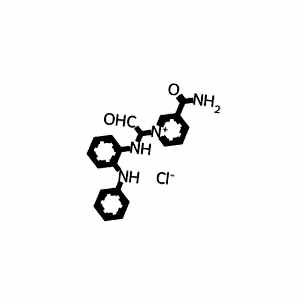 NC(=O)c1ccc[n+](C(C=O)Nc2ccccc2Nc2ccccc2)c1.[Cl-]